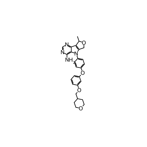 CC1OCc2c1c1ncnc(N)c1n2-c1ccc(Oc2cccc(OCC3CCOCC3)c2)cc1